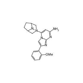 COc1ccccc1-c1cn2c(N3CC4CCC(C3)N4C)cc(N)nc2n1